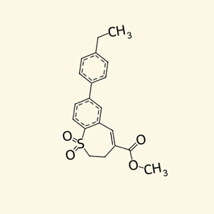 CCc1ccc(-c2ccc3c(c2)C=C(C(=O)OC)CCS3(=O)=O)cc1